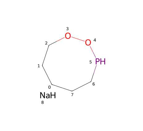 C1CCOOPCC1.[NaH]